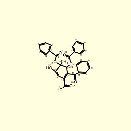 CC1(OC(=O)c2ccccc2)C(O)=CC(C(=O)O)=C(C(=O)c2ccccc2)C1OC(=O)c1ccccc1